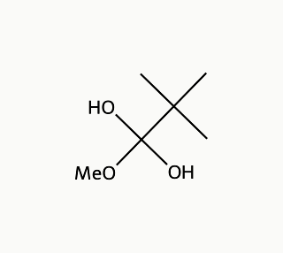 COC(O)(O)C(C)(C)C